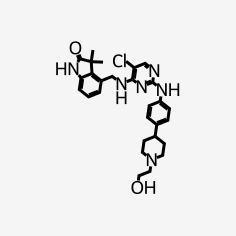 CC1(C)C(=O)Nc2cccc(CNc3nc(Nc4ccc(C5CCN(CCO)CC5)cc4)ncc3Cl)c21